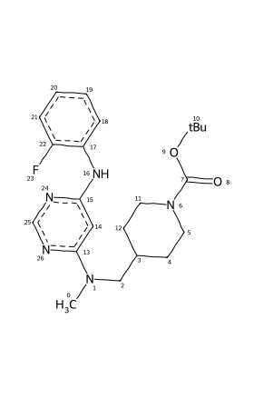 CN(CC1CCN(C(=O)OC(C)(C)C)CC1)c1cc(Nc2ccccc2F)ncn1